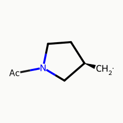 [CH2][C@@H]1CCN(C(C)=O)C1